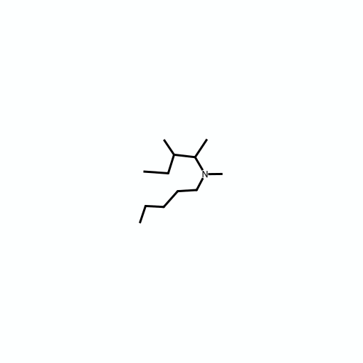 CCCCCN(C)C(C)C(C)CC